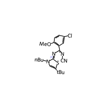 CCCCn1cc(C(C)(C)C)s/c1=N\C(=NC#N)c1cc(Cl)ccc1OC